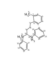 Cc1ccccc1CCCC([SiH2]c1ccccc1)[SiH2]c1ccccc1